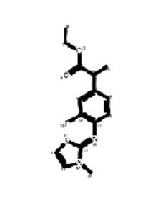 CCOC(=O)C(C)c1ccc(/N=c2\sccn2C)c(F)c1